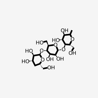 CC1O[C@H](CO)[C@@H](O[C@H]2O[C@H](CO)[C@@H](O[C@H]3O[C@H](CO)C[C@H](O)[C@H]3O)[C@H](O)[C@H]2O)[C@H](O)[C@H]1O